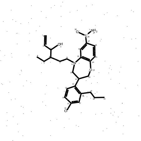 C=CC(O)C(CC)CCN1CC(c2ccc(Cl)cc2CCC)COc2ccc([S+](N)[O-])cc21